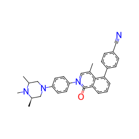 Cc1cn(-c2ccc(N3CC(C)N(C)[C@H](C)C3)cc2)c(=O)c2cccc(-c3ccc(C#N)cc3)c12